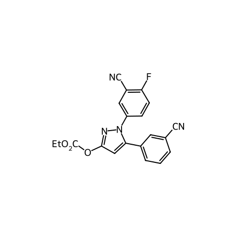 CCOC(=O)Oc1cc(-c2cccc(C#N)c2)n(-c2ccc(F)c(C#N)c2)n1